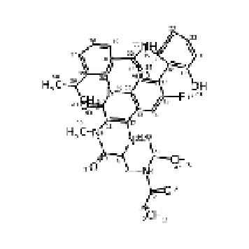 C=CC(=O)N1CC2C(=O)N(C)c3c(c4cc(F)c(-c5c(O)cccc5F)c(F)c4n(-c4c(C(N)=O)cccc4C(C)C)c3=O)N2CC1C